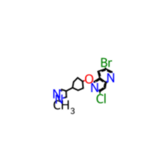 CN1CC(C2CCC(Oc3nc(Cl)cc4ncc(Br)cc34)CC2)C=N1